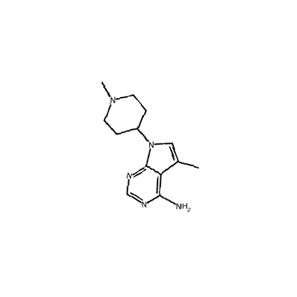 Cc1cn(C2CCN(C)CC2)c2ncnc(N)c12